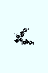 Cc1ccc(OC(C(=O)Nc2ccc3nc(N4CCC(N(C)C)CC4)cc(C)c3c2)C(Oc2ccc(C(F)(F)F)cc2)C(=O)Nc2ccc3nc(N4CCNCC4)cc(C)c3c2)cc1